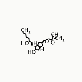 CCCCC[C@H](O)C=C[C@@H]1[C@H]2CC(=COCC(=O)N(C)C)C[C@H]2C[C@H]1O